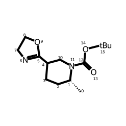 C[C@@H]1CCC(C2=NCCO2)CN1C(=O)OC(C)(C)C